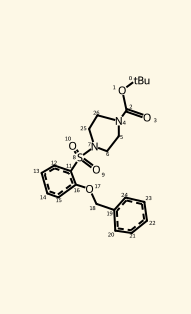 CC(C)(C)OC(=O)N1CCN(S(=O)(=O)c2ccccc2OCc2ccccc2)CC1